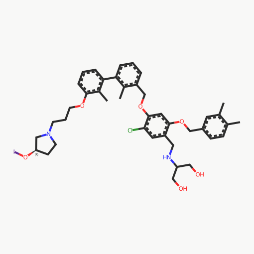 Cc1ccc(COc2cc(OCc3cccc(-c4cccc(OCCCN5CC[C@@H](OI)C5)c4C)c3C)c(Cl)cc2CNC(CO)CO)cc1C